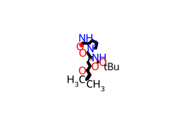 CC(C)=CC(=O)CC[C@H](NC(=O)OC(C)(C)C)C(=O)N1CCCC1C(N)=O